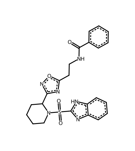 O=C(NCCc1nc(C2CCCCN2S(=O)(=O)c2nc3ccccc3[nH]2)no1)c1ccccc1